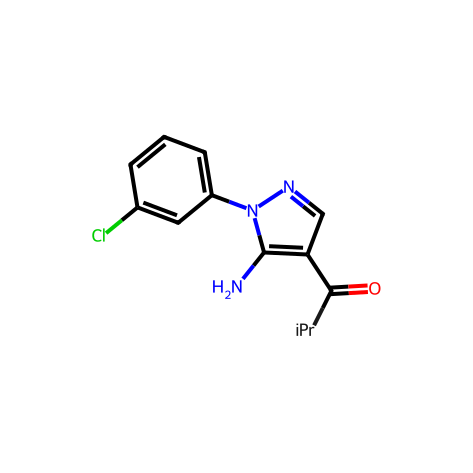 CC(C)C(=O)c1cnn(-c2cccc(Cl)c2)c1N